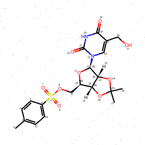 Cc1ccc(S(=O)(=O)OC[C@H]2O[C@@H](n3cc(CO)c(=O)[nH]c3=O)[C@@H]3OC(C)(C)O[C@@H]32)cc1